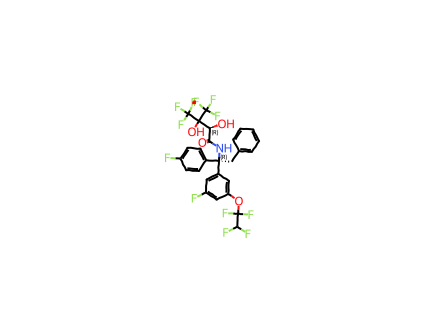 O=C(N[C@](Cc1ccccc1)(c1ccc(F)cc1)c1cc(F)cc(OC(F)(F)C(F)F)c1)[C@H](O)C(O)(C(F)(F)F)C(F)(F)F